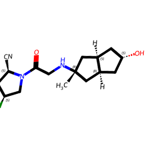 C[C@@]1(NCC(=O)N2C[C@@H](F)C[C@H]2C#N)C[C@H]2C[C@H](O)C[C@H]2C1